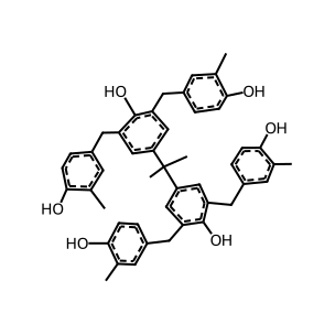 Cc1cc(Cc2cc(C(C)(C)c3cc(Cc4ccc(O)c(C)c4)c(O)c(Cc4ccc(O)c(C)c4)c3)cc(Cc3ccc(O)c(C)c3)c2O)ccc1O